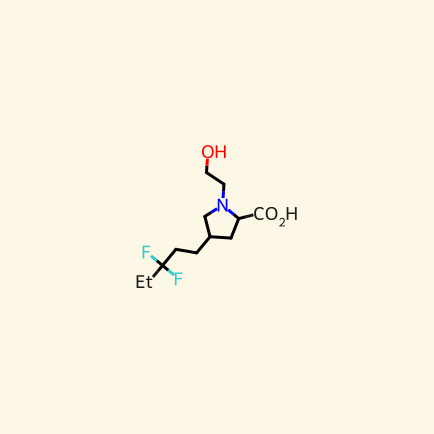 CCC(F)(F)CCC1CC(C(=O)O)N(CCO)C1